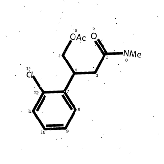 CNC(=O)CC(COC(C)=O)c1ccccc1Cl